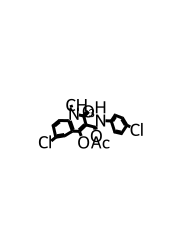 CC(=O)Oc1c(C(=O)Nc2ccc(Cl)cc2)c(=O)n(C)c2ccc(Cl)cc12